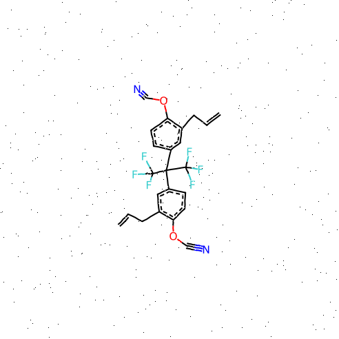 C=CCc1cc(C(c2ccc(OC#N)c(CC=C)c2)(C(F)(F)F)C(F)(F)F)ccc1OC#N